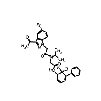 CC(=O)c1nn(CC(=O)N(CC(=O)NC2C=CC=C(c3ccccc3)C2(F)Cl)C(C)C)c2ccc(Br)cc12